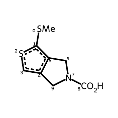 CSc1scc2c1CN(C(=O)O)C2